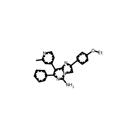 CCOc1ccc(-c2cn3c(N)nc(-c4ccccc4)c(-c4ccnc(C)c4)c3n2)cc1